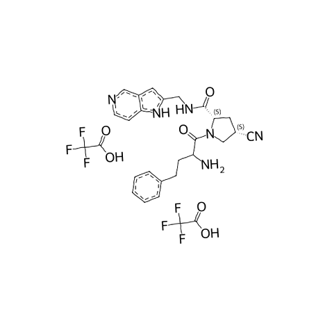 N#C[C@H]1C[C@@H](C(=O)NCc2cc3cnccc3[nH]2)N(C(=O)C(N)CCc2ccccc2)C1.O=C(O)C(F)(F)F.O=C(O)C(F)(F)F